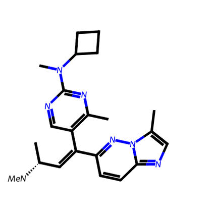 CN[C@H](C)/C=C(/c1ccc2ncc(C)n2n1)c1cnc(N(C)C2CCC2)nc1C